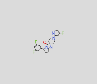 O=C1N2C(=NC13CCN(c1cc(F)ccn1)CC3)CC[C@H]2c1cc(F)cc(F)c1